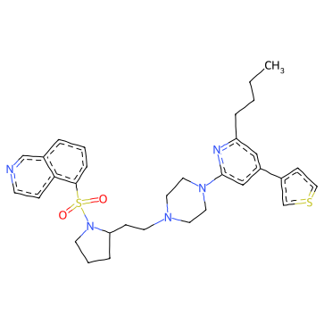 CCCCc1cc(-c2ccsc2)cc(N2CCN(CCC3CCCN3S(=O)(=O)c3cccc4cnccc34)CC2)n1